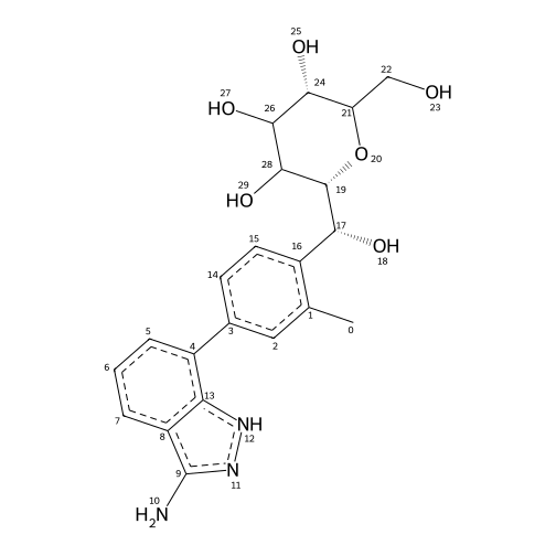 Cc1cc(-c2cccc3c(N)n[nH]c23)ccc1[C@@H](O)[C@H]1OC(CO)[C@@H](O)C(O)C1O